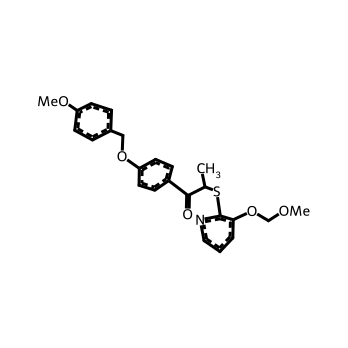 COCOc1cccnc1SC(C)C(=O)c1ccc(OCc2ccc(OC)cc2)cc1